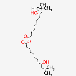 CC(C)CC(O)CCCCCCCC(=O)OC(=O)CCCCCCCC(O)CC(C)(C)C